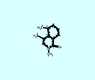 Bc1cn(C)c(=O)c2cccc(C)c12